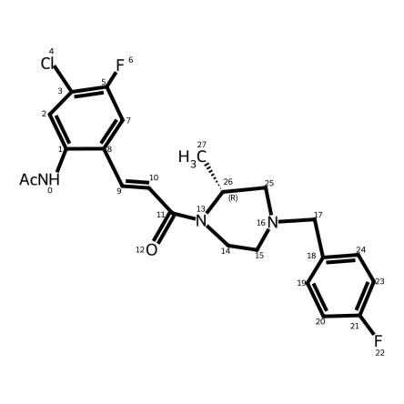 CC(=O)Nc1cc(Cl)c(F)cc1C=CC(=O)N1CCN(Cc2ccc(F)cc2)C[C@H]1C